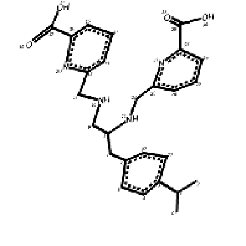 CC(C)c1ccc(CC(CNCc2cccc(C(=O)O)n2)NCc2cccc(C(=O)O)n2)cc1